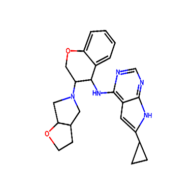 c1ccc2c(c1)OCC(N1CC3CCOC3C1)C2Nc1ncnc2[nH]c(C3CC3)cc12